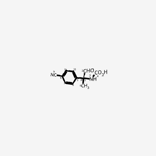 C[C@@](C=O)(NC(=O)O)c1ccc(C#N)cc1